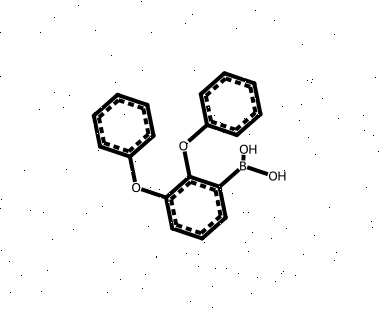 OB(O)c1cccc(Oc2ccccc2)c1Oc1ccccc1